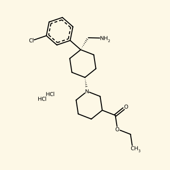 CCOC(=O)C1CCCN([C@H]2CC[C@](CN)(c3cccc(Cl)c3)CC2)C1.Cl.Cl